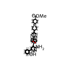 COC(=O)[C@H]1CC[C@@H](N2CCC(c3cnc(C45CC6CC4C(CN(c4cc(-c7ccccc7O)nnc4N)C6)C5)nc3)CC2)CC1